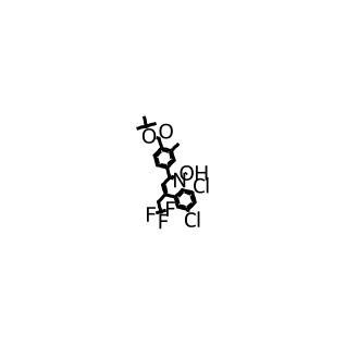 Cc1cc(C(C=C(CC(F)(F)F)c2cc(Cl)cc(Cl)c2)=NO)ccc1C(=O)OC(C)(C)C